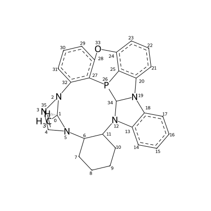 C[C@H]1N2N=CN1C1CCCCC1N1c3ccccc3N3c4cccc5c4P(c4c(cccc42)O5)C31